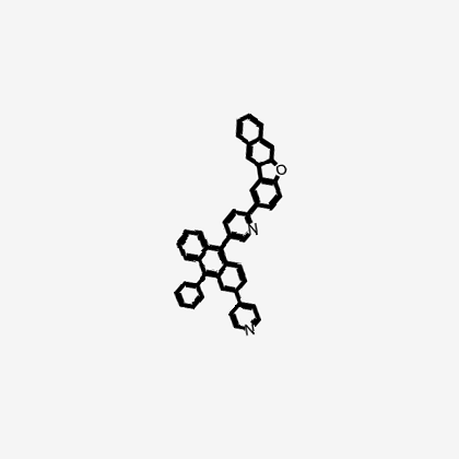 C1=c2ccccc2=CC2c3cc(-c4ccc(-c5c6ccccc6c(-c6ccccc6)c6cc(-c7ccncc7)ccc56)cn4)ccc3OC12